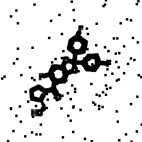 O=C(c1cc2c(cc1F)OC(c1ccc(F)cc1)(c1ccc(F)cc1)O2)N1CCC[C@H]1CO